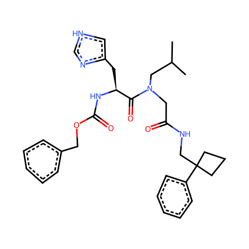 CC(C)CN(CC(=O)NCC1(c2ccccc2)CCC1)C(=O)[C@H](Cc1c[nH]cn1)NC(=O)OCc1ccccc1